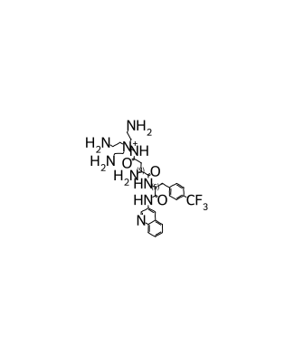 NCC[N+](CCN)(CCN)NC(=O)C[C@H](N)C(=O)N[C@@H](Cc1ccc(C(F)(F)F)cc1)C(=O)Nc1cnc2ccccc2c1